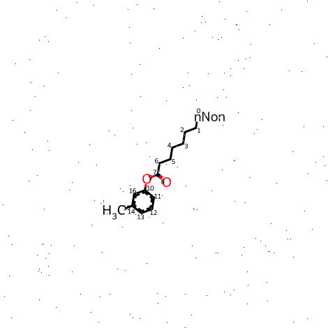 CCCCCCCCCCCCCCCC(=O)Oc1cccc(C)c1